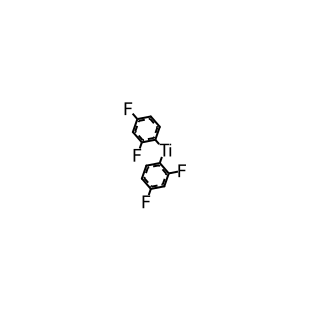 Fc1cc[c]([Ti][c]2ccc(F)cc2F)c(F)c1